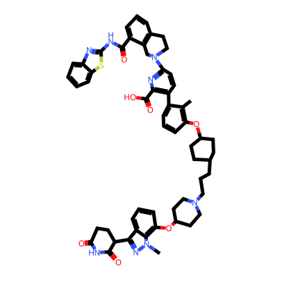 Cc1c(OC2CCC(CCCN3CCC(Oc4cccc5c(C6CCC(=O)NC6=O)nn(C)c45)CC3)CC2)cccc1-c1ccc(N2CCc3cccc(C(=O)Nc4nc5ccccc5s4)c3C2)nc1C(=O)O